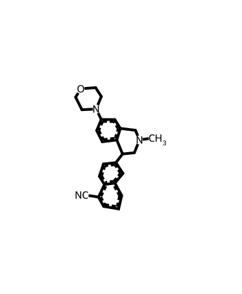 CN1Cc2cc(N3CCOCC3)ccc2C(c2ccc3c(C#N)cccc3c2)C1